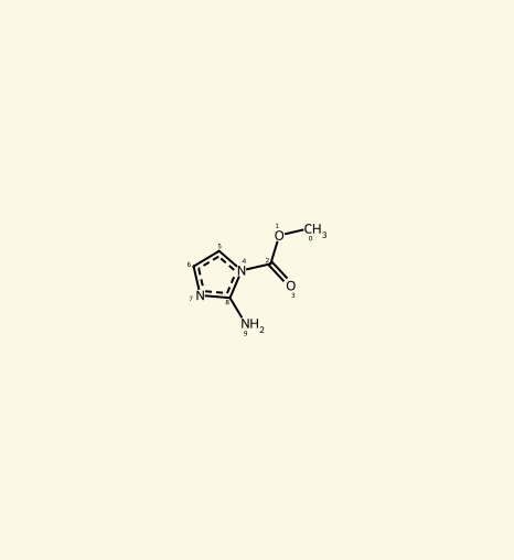 COC(=O)n1ccnc1N